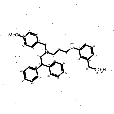 COc1ccc(CN(CCCOc2cccc(CC(=O)O)c2)CC(c2ccccc2)c2ccccc2)cc1